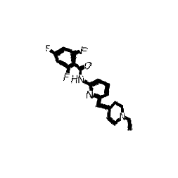 CCN1CCC(=Cc2cccc(NC(=O)c3c(F)cc(F)cc3F)n2)CC1